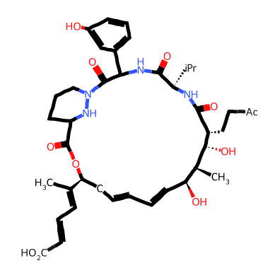 CC(=O)CC[C@H]1C(=O)N[C@@H](C(C)C)C(=O)NC(c2cccc(O)c2)C(=O)N2CCCC(N2)C(=O)O[C@H](/C(C)=C/C=C/C(=O)O)C/C=C/C=C/[C@H](O)[C@H](C)[C@H]1O